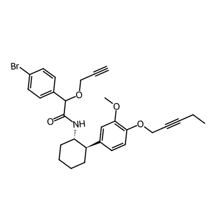 C#CCOC(C(=O)N[C@H]1CCCC[C@@H]1c1ccc(OCC#CCC)c(OC)c1)c1ccc(Br)cc1